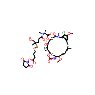 COCC(C)(CCC(=O)N(C)[C@@H](C)C(=O)O[C@H]1CC(=O)N(C)c2cc(cc(OC)c2Cl)C/C(C)=C/C=C/[C@@H](OC)[C@@]2(O)CC(OC(=O)N2)[C@@H](C)[C@@H]2O[C@@]12C)SSCCCC(=O)ON1C(=O)CCC1=O